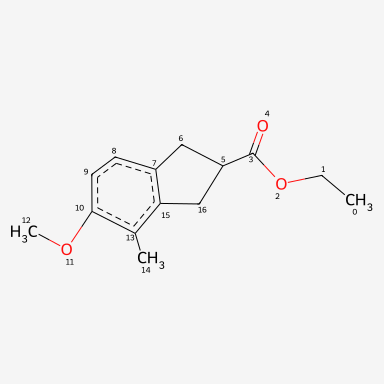 CCOC(=O)C1Cc2ccc(OC)c(C)c2C1